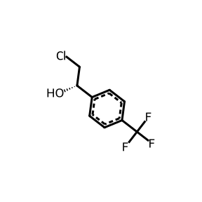 O[C@H](CCl)c1ccc(C(F)(F)F)cc1